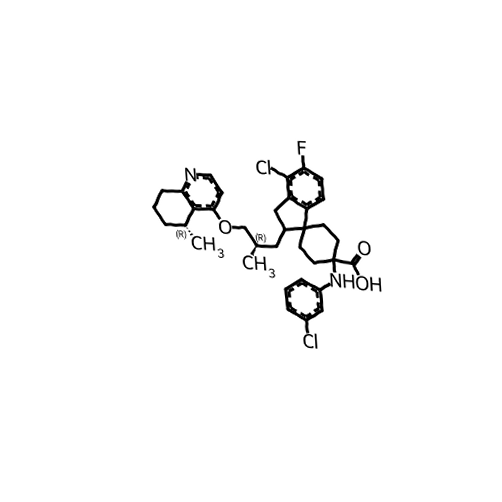 C[C@@H](COc1ccnc2c1[C@H](C)CCC2)CC1Cc2c(ccc(F)c2Cl)C12CCC(Nc1cccc(Cl)c1)(C(=O)O)CC2